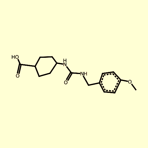 COc1ccc(CNC(=O)NC2CCC(C(=O)O)CC2)cc1